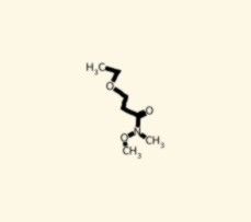 CCOCCC(=O)N(C)OC